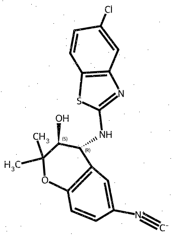 [C-]#[N+]c1ccc2c(c1)[C@@H](Nc1nc3cc(Cl)ccc3s1)[C@H](O)C(C)(C)O2